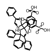 O=S(=O)(O)c1ccc(Cl)c(C2(C3(c4cc(S(=O)(=O)O)ccc4Cl)N=C(c4ccccc4)C(c4ccccc4)(c4ccccc4)N3)N=CC(c3ccccc3)=N2)c1